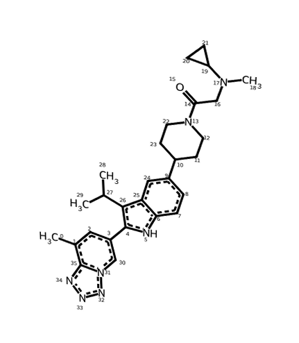 Cc1cc(-c2[nH]c3ccc(C4CCN(C(=O)CN(C)C5CC5)CC4)cc3c2C(C)C)cn2nnnc12